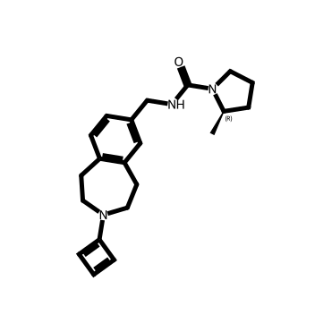 C[C@@H]1CCCN1C(=O)NCc1ccc2c(c1)CCN(C1=CC=C1)CC2